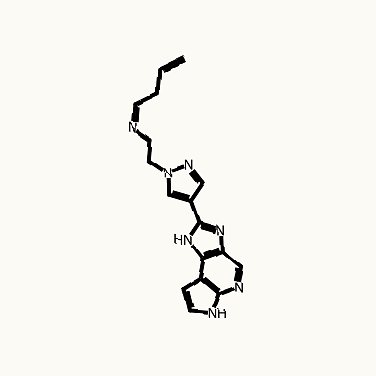 C=CC/C=N\CCn1cc(-c2nc3cnc4[nH]ccc4c3[nH]2)cn1